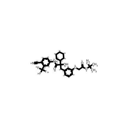 CC(C)(C)OC(=O)COc1cccc(CC(O)(C(=O)Nc2ccc(C#N)c(C(F)(F)F)c2)C2CCCCC2)c1